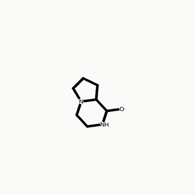 [O]C1NCCN2CCCC12